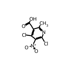 Cc1nc(Cl)c([N+](=O)[O-])c(Cl)c1C(=O)O